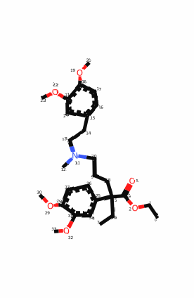 CCOC(=O)C(CC)(CCCN(C)CCc1ccc(OC)c(OC)c1)c1ccc(OC)c(OC)c1